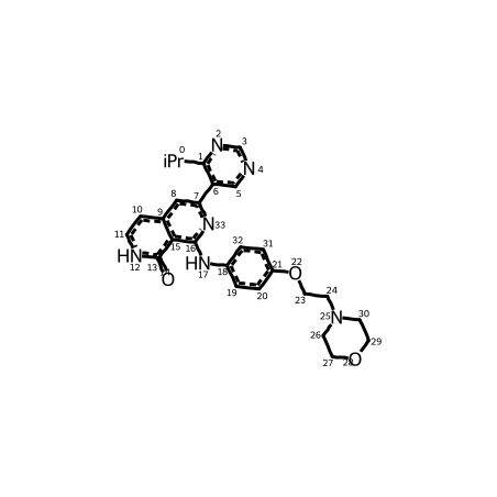 CC(C)c1ncncc1-c1cc2cc[nH]c(=O)c2c(Nc2ccc(OCCN3CCOCC3)cc2)n1